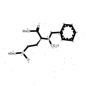 CCCCCCCCCC[S+]([O-])CC[C@@H](C(=O)OC)N(Cc1ccccc1)C(=O)O